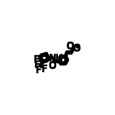 COC(=O)/C=C/c1cccc(C(=O)Nc2ccc(F)c(C(F)(F)F)c2)c1